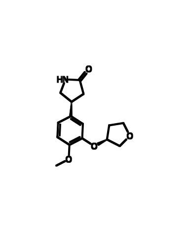 COc1ccc([C@H]2CNC(=O)C2)cc1O[C@H]1CCOC1